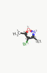 CCc1noc(C)c1Br